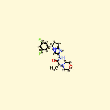 C[C@H](C(=O)Nc1cn2c(n1)CC[C@@H]2c1cc(F)cc(F)c1)N1CCOCC1